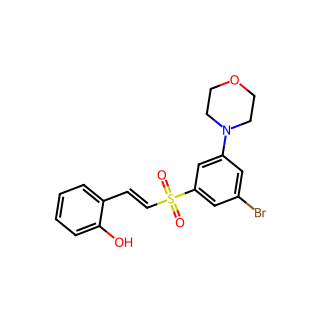 O=S(=O)(C=Cc1ccccc1O)c1cc(Br)cc(N2CCOCC2)c1